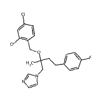 CC(CCc1ccc(F)cc1)(Cn1ccnc1)OCc1ccc(Cl)cc1Cl